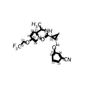 CC(NC(=O)[C@H]1C[C@@H]1COc1cccc(C#N)c1)c1ccc(OCC(F)(F)F)cn1